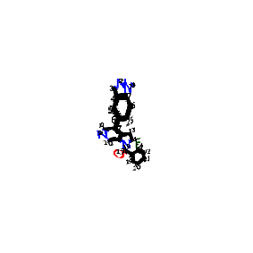 Cn1ncc2cc(-c3cncc4c3CCN4C(=O)c3ccccc3F)ccc21